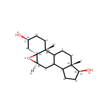 C[C@]12CCC3C(C[C@H]4O[C@]45C[C@@H](O)CC[C@]35C)C1CC[C@@H]2O